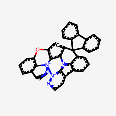 c1ccc2c(c1)-c1ccccc1C21c2ccc3c4c2-n2c5c1cccc5c1ccn[n+](c12)[N+]41c2c(cccc2-c2cccc[n+]21)O3